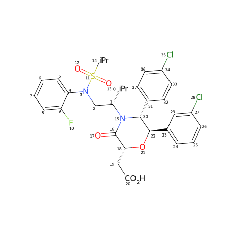 CC(C)[C@@H](CN(c1ccccc1F)S(=O)(=O)C(C)C)N1C(=O)[C@@H](CC(=O)O)O[C@H](c2cccc(Cl)c2)[C@H]1c1ccc(Cl)cc1